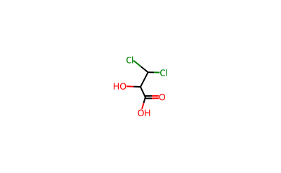 O=C(O)C(O)C(Cl)Cl